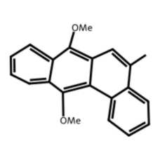 COc1c2ccccc2c(OC)c2c1cc(C)c1ccccc12